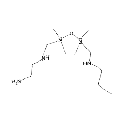 CCCNC[Si](C)(C)O[Si](C)(C)CNCCN